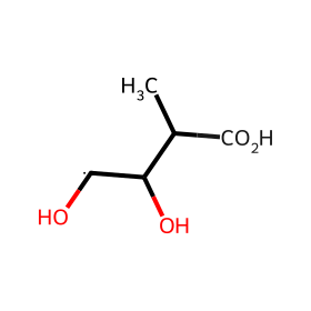 CC(C(=O)O)C(O)[CH]O